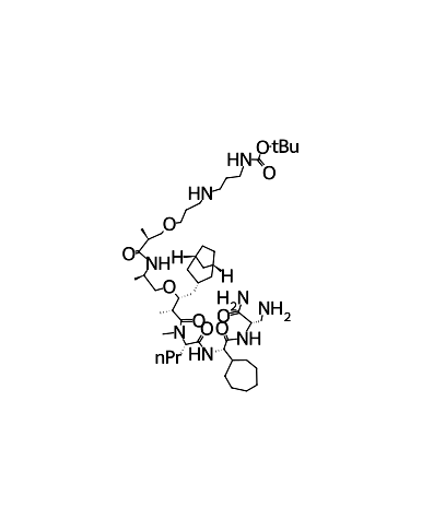 CCC[C@@H](C(=O)N[C@H](C(=O)N[C@@H](CN)C(N)=O)C1CCCCCC1)N(C)C(=O)[C@H](C)[C@@H](C[C@@H]1C[C@@H]2CC[C@@H](C2)C1)OC[C@@H](C)NC(=O)[C@@H](C)COCCCNCCCNC(=O)OC(C)(C)C